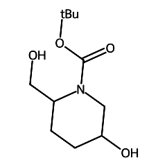 CC(C)(C)OC(=O)N1CC(O)CCC1CO